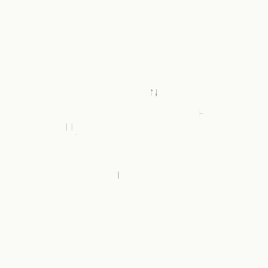 [CH2]c1cnc(F)cc1I